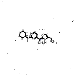 CCC1=CS/C(=C(/N)c2ccnc(NC3CCCCC3)n2)N1